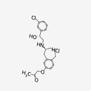 CC(=O)COc1ccc2c(c1)C[C@@H](NC[C@H](O)c1cccc(Cl)c1)CCC2.Cl